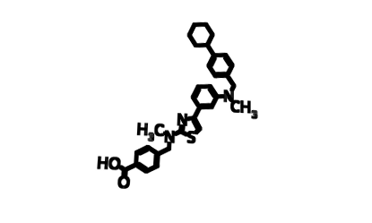 CN(Cc1ccc(C2CCCCC2)cc1)c1cccc(-c2csc(N(C)Cc3ccc(C(=O)O)cc3)n2)c1